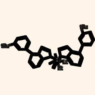 [CH2]=[Hf]([CH3])([CH3])([CH2]C)([CH2]C)([CH]1C=Cc2c(-c3cccc(C(C)(C)C)c3)cccc21)[CH]1C=Cc2c(-c3cccc(C(C)(C)C)c3)cccc21